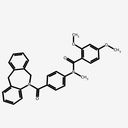 COc1ccc(C(=O)N(C)c2ccc(C(=O)N3Cc4ccccc4Cc4ccccc43)cc2)c(OC)c1